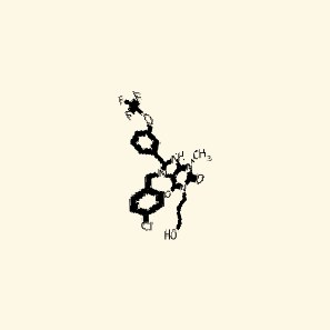 Cn1c2c(c(=O)n(CCCO)c1=O)N(Cc1ccc(Cl)cc1)C(c1cccc(OC(F)(F)F)c1)N2